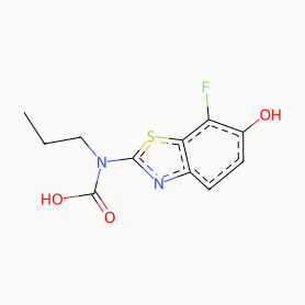 CCCN(C(=O)O)c1nc2ccc(O)c(F)c2s1